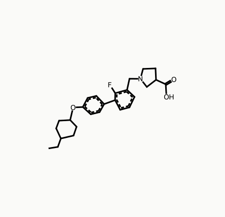 CCC1CCC(Oc2ccc(-c3cccc(CN4CCC(C(=O)O)C4)c3F)cc2)CC1